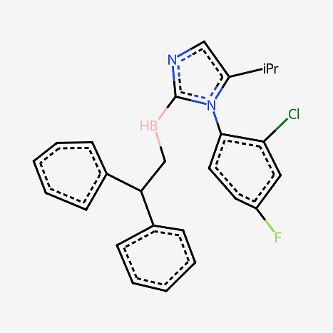 CC(C)c1cnc(BCC(c2ccccc2)c2ccccc2)n1-c1ccc(F)cc1Cl